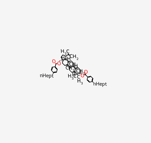 C=C(C)C1CC[C@]2(COC(=O)c3ccc(CCCCCCC)cc3)CC[C@]3(C)[C@H](CC[C@@H]4[C@@]5(C)CC[C@H](OC(=O)c6ccc(CCCCCCC)cc6)C(C)(C)[C@@H]5CC[C@]43C)[C@@H]12